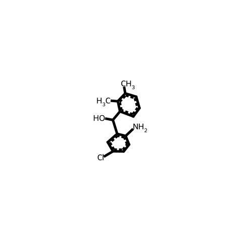 Cc1cccc(C(O)c2cc(Cl)ccc2N)c1C